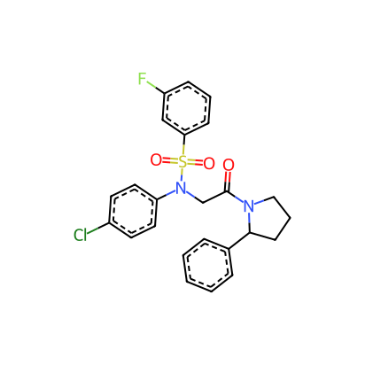 O=C(CN(c1ccc(Cl)cc1)S(=O)(=O)c1cccc(F)c1)N1CCCC1c1ccccc1